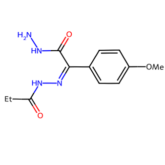 CCC(=O)NN=C(C(=O)NN)c1ccc(OC)cc1